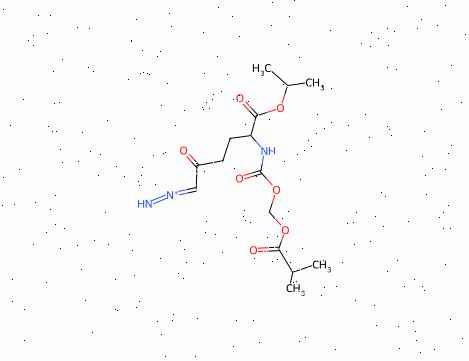 CC(C)OC(=O)C(CCC(=O)C=[N+]=N)NC(=O)OCOC(=O)C(C)C